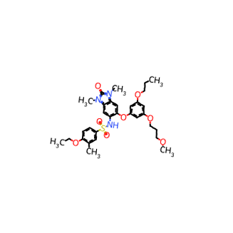 CCCOc1cc(OCCCOC)cc(Oc2cc3c(cc2NS(=O)(=O)c2ccc(OCC)c(C)c2)n(C)c(=O)n3C)c1